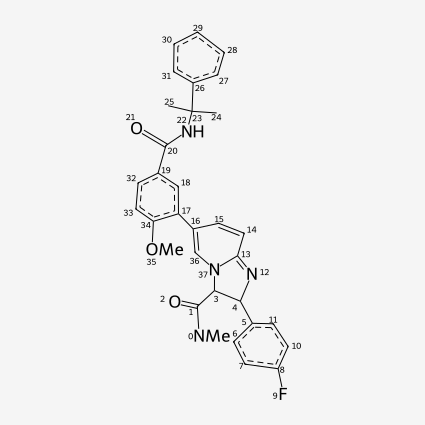 CNC(=O)C1C(c2ccc(F)cc2)N=C2C=CC(c3cc(C(=O)NC(C)(C)c4ccccc4)ccc3OC)=CN21